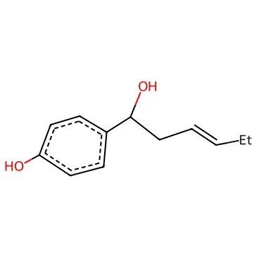 CCC=CCC(O)c1ccc(O)cc1